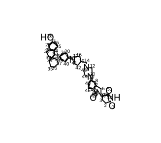 O=C1CC[C@H](N2Cc3cc(N4CCN(CC5CCN(c6ccc([C@H]7c8ccc(O)cc8CCC78CCCCC8)cc6)CC5)CC4)ccc3C2=O)C(=O)N1